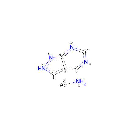 CC(N)=O.c1ncc2c[nH]nc2n1